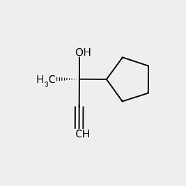 C#C[C@@](C)(O)C1CCCC1